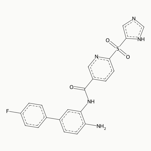 Nc1ccc(-c2ccc(F)cc2)cc1NC(=O)c1ccc(S(=O)(=O)c2cnc[nH]2)nc1